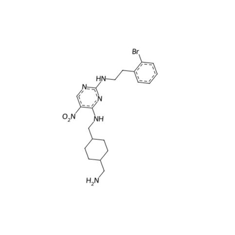 NCC1CCC(CNc2nc(NCCc3ccccc3Br)ncc2[N+](=O)[O-])CC1